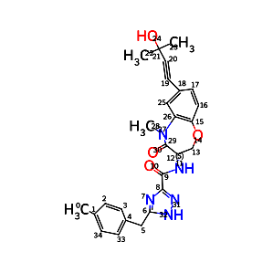 Cc1ccc(Cc2nc(C(=O)N[C@H]3COc4ccc(C#CC(C)(C)O)cc4N(C)C3=O)n[nH]2)cc1